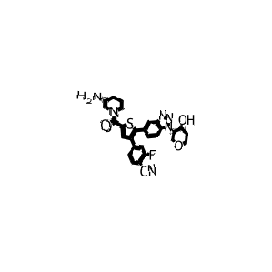 N#Cc1ccc(-c2cc(C(=O)N3CCC[C@@H](N)C3)sc2-c2ccc3c(c2)nnn3[C@H]2COCC[C@@H]2O)cc1F